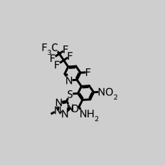 Cn1nnc(Sc2c(C(N)=O)cc([N+](=O)[O-])cc2-c2ncc(C(F)(F)C(F)(F)C(F)(F)F)cc2F)n1